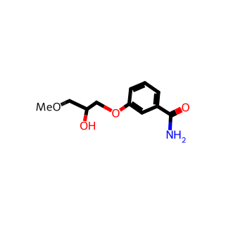 COCC(O)COc1cccc(C(N)=O)c1